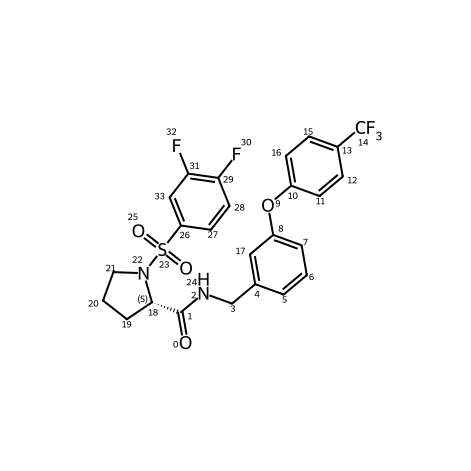 O=C(NCc1cccc(Oc2ccc(C(F)(F)F)cc2)c1)[C@@H]1CCCN1S(=O)(=O)c1ccc(F)c(F)c1